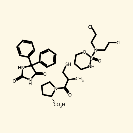 C[C@H](CS)C(=O)N1CCC[C@H]1C(=O)O.O=C1NC(=O)C(c2ccccc2)(c2ccccc2)N1.O=P1(N(CCCl)CCCl)NCCCO1